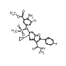 CNC(=O)c1c(-c2ccc(F)cc2)oc2cc(N(c3cc(Cl)c(N)c(C(=O)OC)c3)S(C)(=O)=O)c(C3CC3)cc12